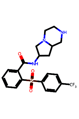 O=C(NC1CC2CNCCN2C1)c1ccccc1S(=O)(=O)c1ccc(C(F)(F)F)cc1